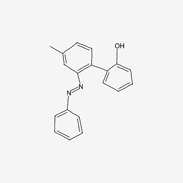 Cc1ccc(-c2ccccc2O)c(N=Nc2ccccc2)c1